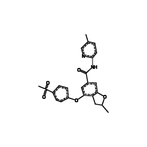 Cc1ccc(NC(=O)c2cc(Oc3ccc(S(C)(=O)=O)cc3)c3c(c2)OC(C)C3)nc1